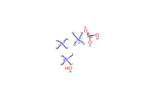 C[N+](C)(C)C.C[N+](C)(C)C.C[N+](C)(C)C.O=[Si]([O-])[O-].[OH-]